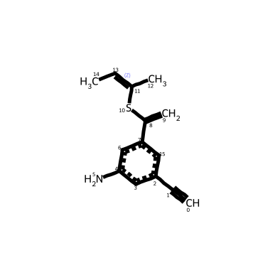 C#Cc1cc(N)cc(C(=C)S/C(C)=C\C)c1